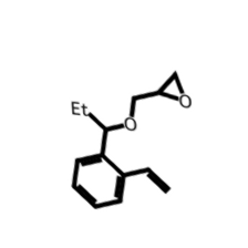 C=Cc1ccccc1C(CC)OCC1CO1